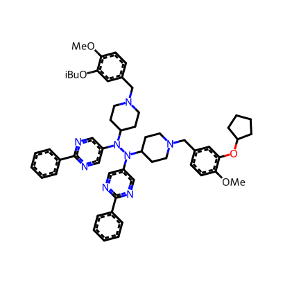 COc1ccc(CN2CCC(N(c3cnc(-c4ccccc4)nc3)N(c3cnc(-c4ccccc4)nc3)C3CCN(Cc4ccc(OC)c(OC5CCCC5)c4)CC3)CC2)cc1OCC(C)C